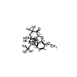 [2H]C1([2H])C[C@@]2(O)[C@@H]3N(C([2H])([2H])[2H])CC[C@@]24c2c(ccc(OC)c2OC4C1=O)C3([2H])[2H]